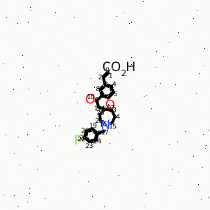 O=C(O)/C=C/c1ccc2c(c1)C(=O)CC1(CCCN(Cc3ccc(F)cc3)CC1)O2